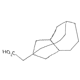 O=C(O)CC12CC3CCCC(C1)C(C3)C2